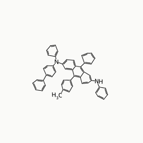 Cc1ccc(-c2c3ccc(Nc4ccccc4)cc3c(-c3ccccc3)c3ccc(N(c4ccccc4)c4ccc(-c5ccccc5)cc4)cc23)cc1